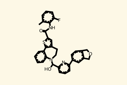 Cc1cccc(F)c1NC(=O)c1cc2c(s1)-c1ccccc1N(C(O)c1cccc(-c3ccc4c(c3)COC4)n1)CC2